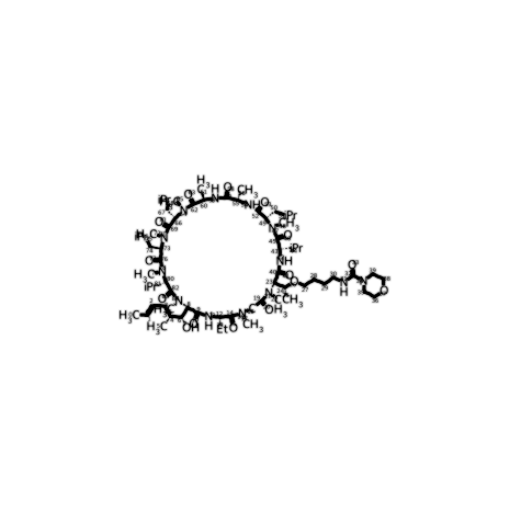 C/C=C/C[C@@H](C)[C@@H](O)[C@H]1C(=O)N[C@@H](CC)C(=O)N(C)CC(=O)N(C)[C@@H]([C@@H](C)OCCCCNC(=O)N2CCOCC2)C(=O)N[C@@H](C(C)C)C(=O)N(C)[C@@H](CC(C)C)C(=O)N[C@@H](C)C(=O)N[C@H](C)C(=O)N(C)[C@@H](CC(C)C)C(=O)N(C)[C@H](CC(C)C)C(=O)N(C)[C@@H](C(C)C)C(=O)N1C